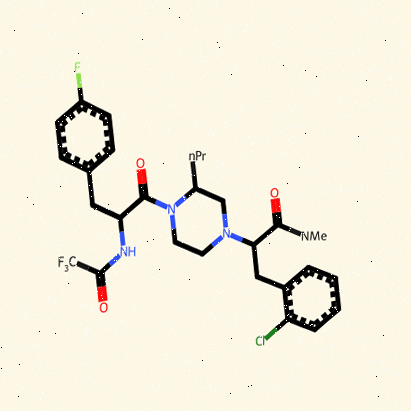 CCCC1CN(C(Cc2ccccc2Cl)C(=O)NC)CCN1C(=O)C(Cc1ccc(F)cc1)NC(=O)C(F)(F)F